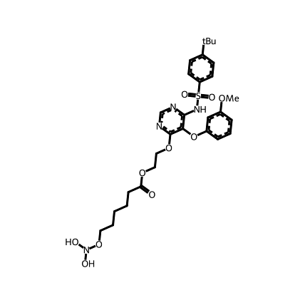 COc1cccc(Oc2c(NS(=O)(=O)c3ccc(C(C)(C)C)cc3)ncnc2OCCOC(=O)CCCCCON(O)O)c1